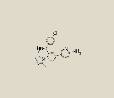 Cc1nnc2n1-c1ccc(-c3ccc(N)nc3)cc1C(c1ccc(Cl)cc1)N[C@H]2C